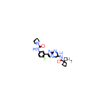 CC1(C(=O)Nc2cnc3nc(-c4cc(NC(=O)N5CCCC5)ccc4F)cn3c2)CCC1